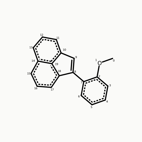 COc1ccccc1C1=Cc2cccc3cccc1c23